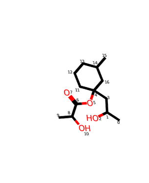 CC(O)CC1(OC(=O)C(C)O)CCCC(C)C1